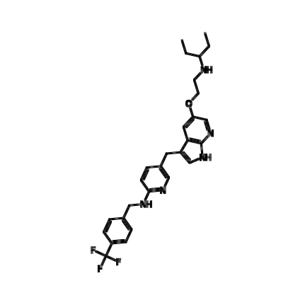 CCC(CC)NCCOc1cnc2[nH]cc(Cc3ccc(NCc4ccc(C(F)(F)F)cc4)nc3)c2c1